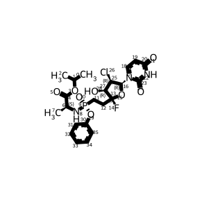 CC(C)OC(=O)[C@H](C)NP(=O)(CC[C@@]1(F)O[C@@H](n2ccc(=O)[nH]c2=O)[C@H](Cl)[C@@H]1O)Oc1ccccc1